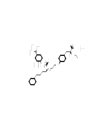 CCOC(Cc1ccc(OCCN(CCCCc2ccccc2)C(=O)Nc2ccc(C(F)(F)F)cc2)cc1)C(=O)O